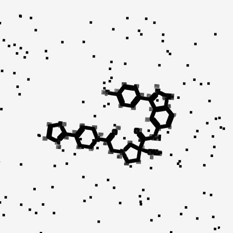 CO[C@@]1(C(=O)Nc2ccc3[nH]nc(-c4ccc(F)cc4)c3c2)CCN(CC(=O)N2CC=C(c3nccs3)CC2)C1